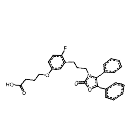 O=C(O)CCCOc1ccc(F)c(CCCn2c(-c3ccccc3)c(-c3ccccc3)oc2=O)c1